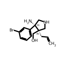 C=CC[C@@]1(CO)CNC[C@]1(N)c1cccc(Br)c1